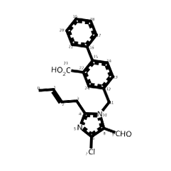 CC=CCc1nc(Cl)c(C=O)n1Cc1ccc(-c2ccccc2)c(C(=O)O)c1